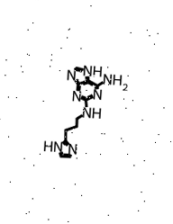 Nc1nc(NCCCc2ncc[nH]2)nc2nc[nH]c12